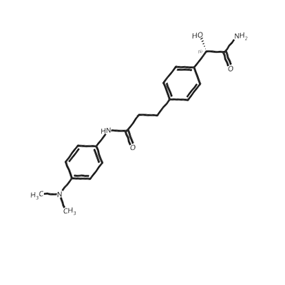 CN(C)c1ccc(NC(=O)[CH]Cc2ccc([C@H](O)C(N)=O)cc2)cc1